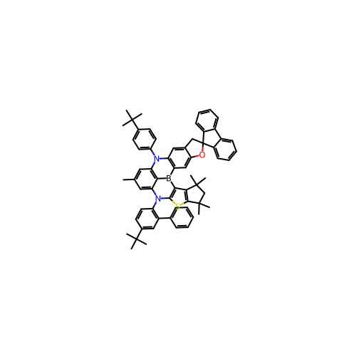 Cc1cc2c3c(c1)N(c1ccc(C(C)(C)C)cc1-c1ccccc1)c1sc4c(c1B3c1cc3c(cc1N2c1ccc(C(C)(C)C)cc1)CC1(O3)c2ccccc2-c2ccccc21)C(C)(C)CC4(C)C